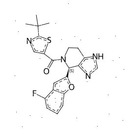 CC(C)(C)c1ncc(C(=O)N2CCc3[nH]cnc3[C@H]2c2cc3c(F)cccc3o2)s1